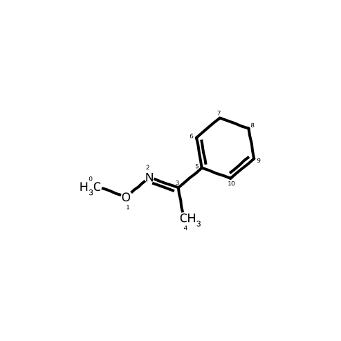 CO/N=C(\C)C1=CCCC=C1